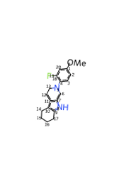 COc1ccc(N2C=c3[nH]c4c(c3=CC2)CCCC4)c(F)c1